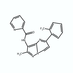 Cc1nn2ccc(-c3ccccc3C(F)(F)F)nc2c1NC(=O)c1ccccn1